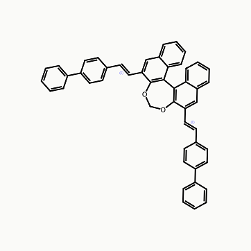 C(=C\c1cc2ccccc2c2c1OCOc1c(/C=C/c3ccc(-c4ccccc4)cc3)cc3ccccc3c1-2)/c1ccc(-c2ccccc2)cc1